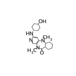 CN1C(=O)C2CCCCC2N(C)c2cc(N[C@H]3CC[C@H](O)CC3)ncc21